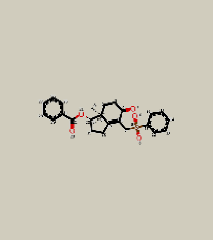 C[C@]12CCC(=O)C(CS(=O)(=O)c3ccccc3)=C1CC[C@@H]2OC(=O)c1ccccc1